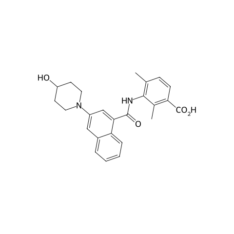 Cc1ccc(C(=O)O)c(C)c1NC(=O)c1cc(N2CCC(O)CC2)cc2ccccc12